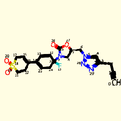 C#CCc1cn(C[C@H]2CN(C3(F)C=CC(C4=CCS(=O)(=O)CC4)=CC3)C(=O)O2)nn1